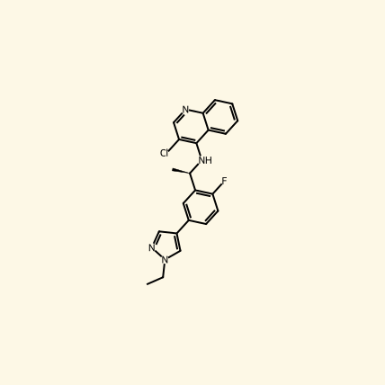 CCn1cc(-c2ccc(F)c([C@@H](C)Nc3c(Cl)cnc4ccccc34)c2)cn1